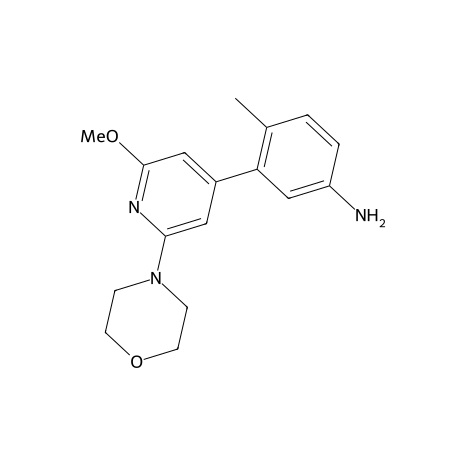 COc1cc(-c2cc(N)ccc2C)cc(N2CCOCC2)n1